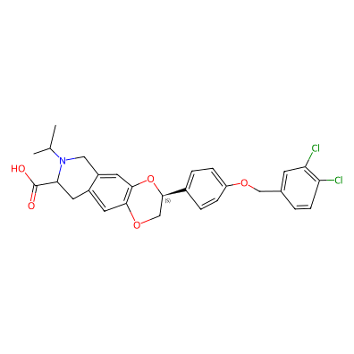 CC(C)N1Cc2cc3c(cc2CC1C(=O)O)OC[C@H](c1ccc(OCc2ccc(Cl)c(Cl)c2)cc1)O3